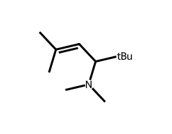 CC(C)=CC(N(C)C)C(C)(C)C